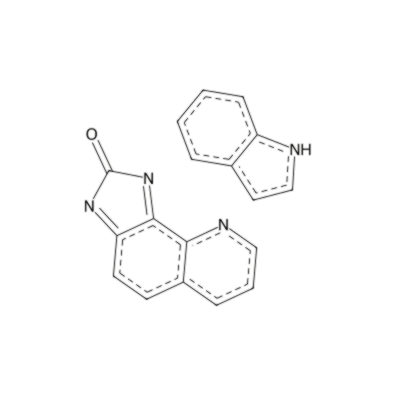 O=C1N=c2ccc3cccnc3c2=N1.c1ccc2[nH]ccc2c1